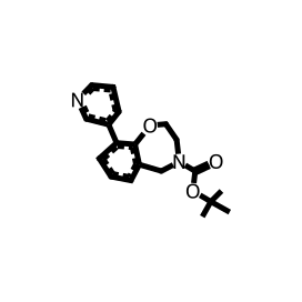 CC(C)(C)OC(=O)N1CCOc2c(cccc2-c2cccnc2)C1